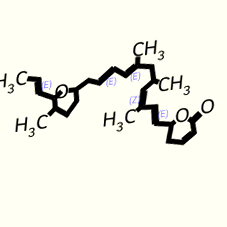 C/C=C/C1OC(C/C=C/C=C(\C)CC(C)/C=C(C)\C=C\C2CC=CC(=O)O2)CCC1C